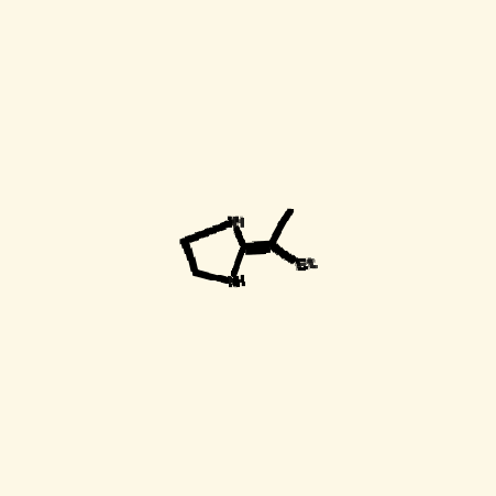 CCC(C)=C1NCCN1